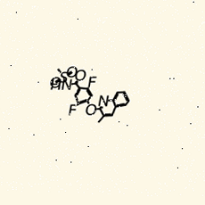 Cc1cc2ccccc2nc1Oc1cc(F)c(C(=O)NS(C)(=O)=O)cc1F